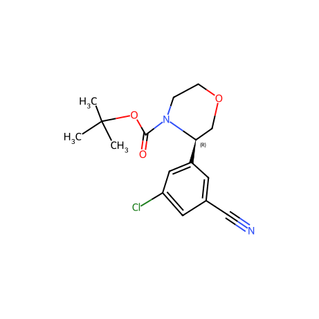 CC(C)(C)OC(=O)N1CCOC[C@H]1c1cc(Cl)cc(C#N)c1